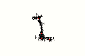 Cc1ncc(-c2ccc3nc(NC(=O)CCCCCCOc4cc(C(=O)N[C@H](C(=O)N5C[C@H](O)C[C@H]5C(=O)NCc5ccc(-c6scnc6C)cc5)C(C)(C)C)no4)sc3c2)cc1NC(=O)OC1CCCCC1